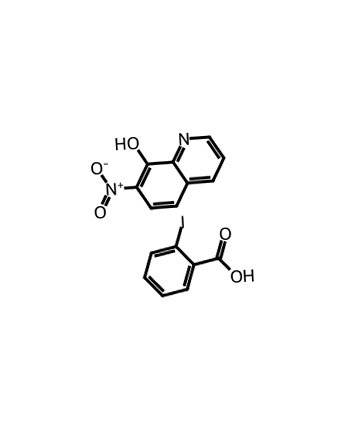 O=C(O)c1ccccc1I.O=[N+]([O-])c1ccc2cccnc2c1O